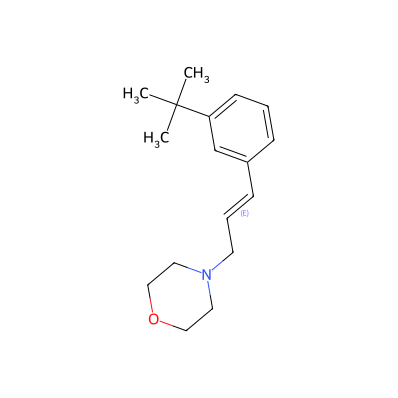 CC(C)(C)c1cccc(/C=C/CN2CCOCC2)c1